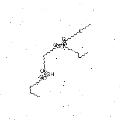 CCCCC/C=C\C/C=C\CCCCCCCC(=O)OC(CO)COC(=O)CCCCCCC/C=C\CCCCCCCC(=O)OCC(COC(=O)CCCCCCCCCCCCCCCCC)OC(=O)CCCCCCC/C=C\C/C=C\CCCCC